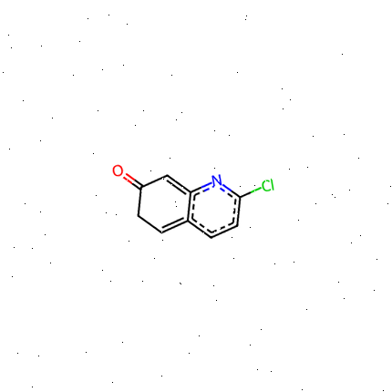 O=C1C=c2nc(Cl)ccc2=CC1